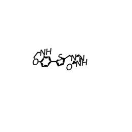 O=c1[nH]ncn1Cc1ccc(-c2ccc3c(c2)NCCO3)s1